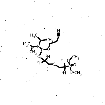 [2H]C([2H])(CSCC([2H])([2H])P(=O)(OC)OC)OP(OCCC#N)N(C(C)C)C(C)C